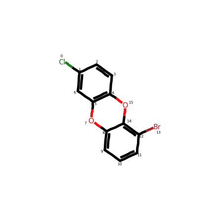 Clc1ccc2c(c1)Oc1cccc(Br)c1O2